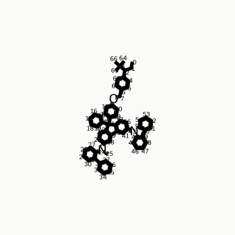 CCC(c1ccc(COc2ccc(C3(c4ccccc4)c4ccc(N(C)c5ccccc5-c5ccccc5)cc4-c4cc(-n5c6ccccc6c6ccccc65)ccc43)cc2)cc1)C(C)(C)C